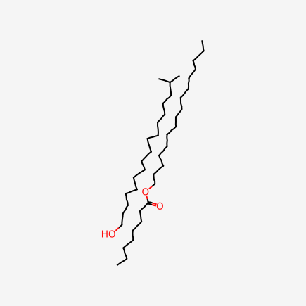 CC(C)CCCCCCCCCCCCCCCO.CCCCCCCCCCCCCCCCOC(=O)CCCCCCC